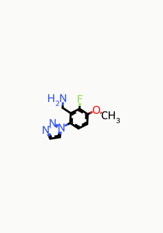 COc1ccc(-n2ccnn2)c(CN)c1F